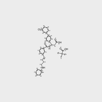 O=C(O)C(F)(F)F.O=C(O)CC(NC(=O)c1cccc(OCCCNc2ccccn2)c1)c1ccc(-c2cccc(Cl)c2)cc1